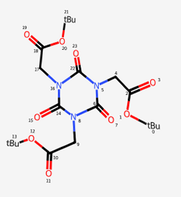 CC(C)(C)OC(=O)Cn1c(=O)n(CC(=O)OC(C)(C)C)c(=O)n(CC(=O)OC(C)(C)C)c1=O